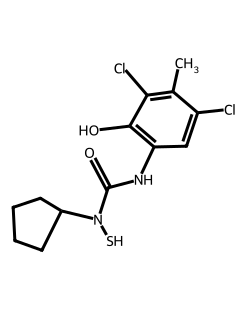 Cc1c(Cl)cc(NC(=O)N(S)C2CCCC2)c(O)c1Cl